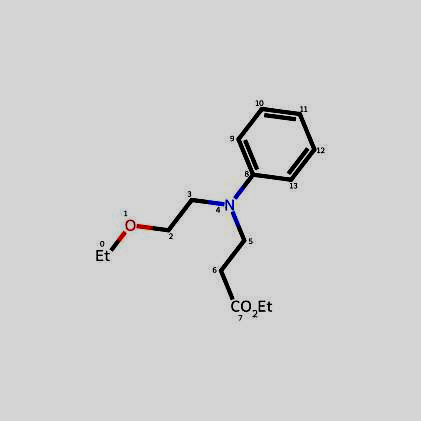 CCOCCN(CCC(=O)OCC)c1ccccc1